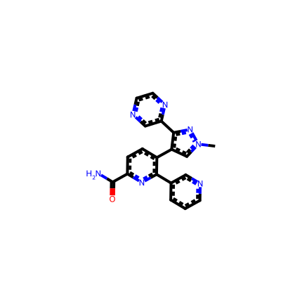 Cn1cc(-c2ccc(C(N)=O)nc2-c2cccnc2)c(-c2cnccn2)n1